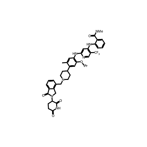 CNC(=O)c1ccccc1Nc1cc(Nc2cc(C)c(C3CCN(Cc4cccc5c4CN(C4CCC(=O)NC4=O)C5=O)CC3)cc2OC(C)C)ncc1C(F)(F)F